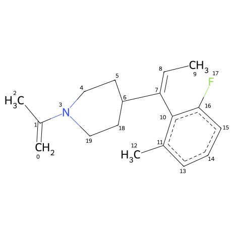 C=C(C)N1CCC(/C(=C/C)c2c(C)cccc2F)CC1